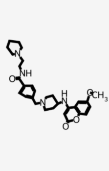 COc1ccc2oc(=O)cc(NC3CCN(Cc4ccc(C(=O)NCCN5CCCCC5)cc4)CC3)c2c1